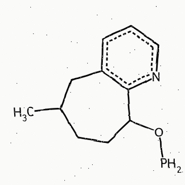 CC1CCC(OP)c2ncccc2C1